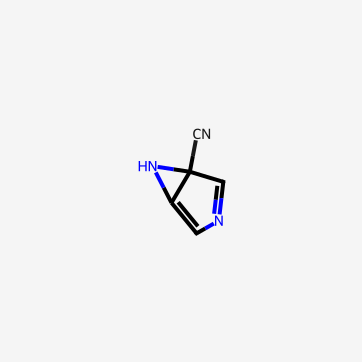 N#CC12C=NC=C1N2